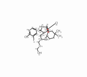 CC1(C)CCC2(CC1)N[C@@H](COCO)[C@H](c1ccnc(Cl)c1F)[C@]21C(=O)Nc2nc(Cl)ccc21